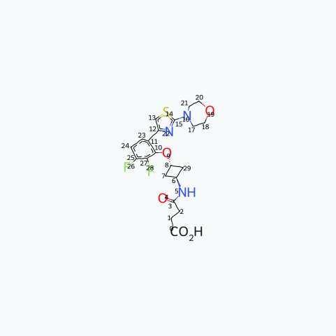 O=C(O)CCC(=O)N[C@H]1C[C@H](Oc2c(-c3csc(N4CCOCC4)n3)ccc(F)c2F)C1